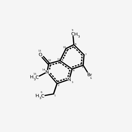 CCc1nc2c(Br)cc(C)cc2c(=O)n1C